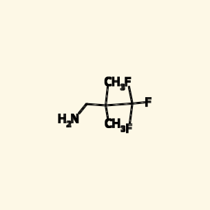 CC(C)(CN)C(F)(F)F